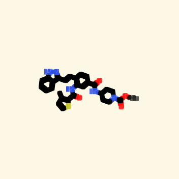 Cc1ccsc1C(=O)Nc1cc(C(=O)NC2CCN(C(=O)OC(C)(C)C)CC2)ccc1C=Cc1n[nH]c2ccccc12